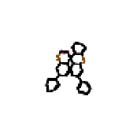 C1=CC2C(C=C1c1ccccc1)SC1=CCCC=C1C21c2ccccc2SC2CC(c3ccccc3)C=CC21